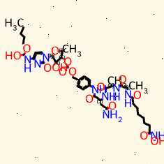 CCCCCOC(O)Nc1ccn([C@@H]2O[C@H](C)[C@@H](OC(=O)OCc3ccc(NC(=O)[C@H](CC(N)=O)NC(=O)[C@H](C)NC(=O)[C@H](C)NC(=O)CCCCCCC(=O)NO)cc3)[C@H]2O)c(=O)n1